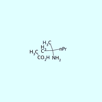 CC(=O)O.CCCC(C)(C)N